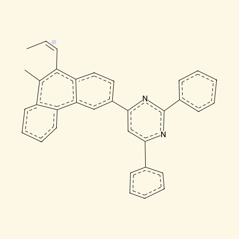 C/C=C\c1c(C)c2ccccc2c2cc(-c3cc(-c4ccccc4)nc(-c4ccccc4)n3)ccc12